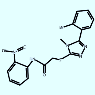 Cn1c(SCC(=O)Nc2ccccc2[N+](=O)[O-])nnc1-c1ccccc1Br